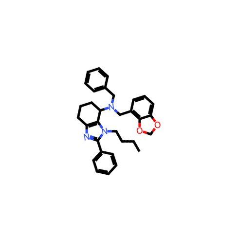 CCCCn1c(-c2ccccc2)nc2c1C(N(Cc1ccccc1)Cc1cccc3c1OCO3)CCC2